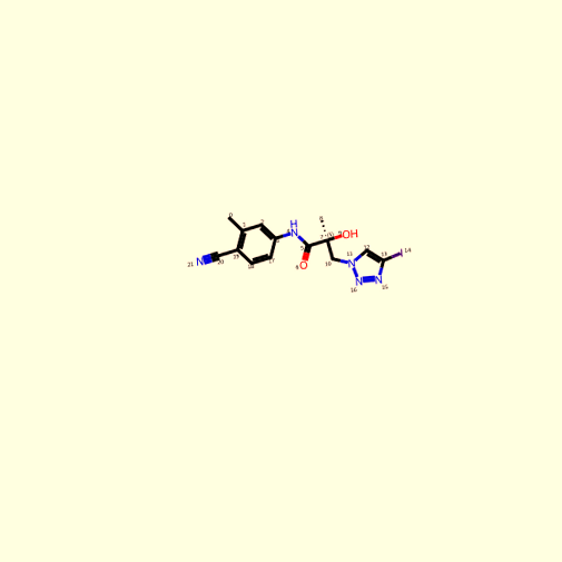 Cc1cc(NC(=O)[C@@](C)(O)Cn2cc(I)nn2)ccc1C#N